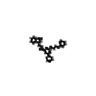 C(=NNc1cc(N2CCOCC2)nc(OCCOc2ccccn2)n1)c1c[nH]c2ccccc12